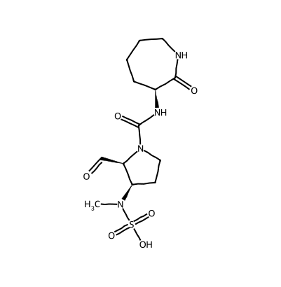 CN([C@@H]1CCN(C(=O)N[C@H]2CCCCNC2=O)[C@@H]1C=O)S(=O)(=O)O